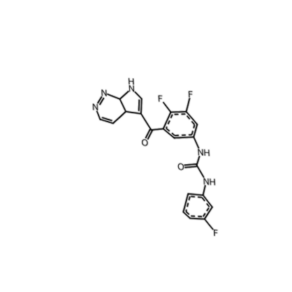 O=C(Nc1cccc(F)c1)Nc1cc(F)c(F)c(C(=O)C2=CNC3N=NC=CC23)c1